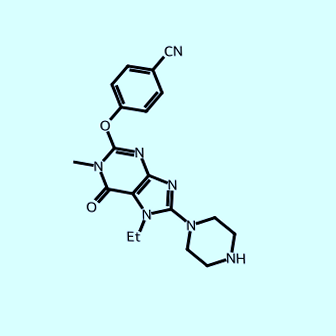 CCn1c(N2CCNCC2)nc2nc(Oc3ccc(C#N)cc3)n(C)c(=O)c21